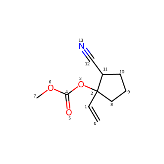 C=CC1(OC(=O)OC)CCCC1C#N